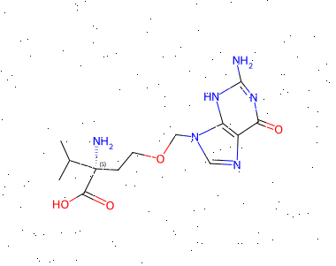 CC(C)[C@@](N)(CCOCn1cnc2c(=O)nc(N)[nH]c21)C(=O)O